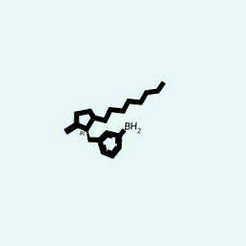 Bc1cccc(C[C@H]2C(=C)CCC2CCCCCCCC)c1